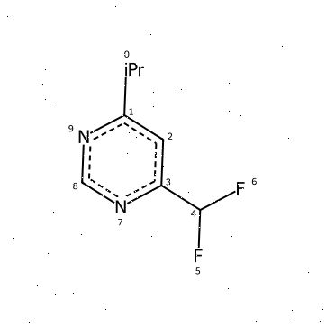 CC(C)c1cc(C(F)F)ncn1